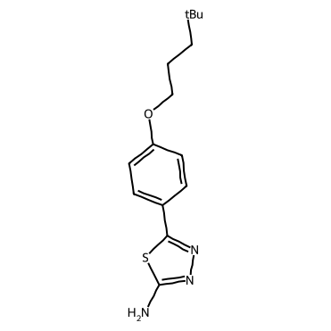 CC(C)(C)CCCOc1ccc(-c2nnc(N)s2)cc1